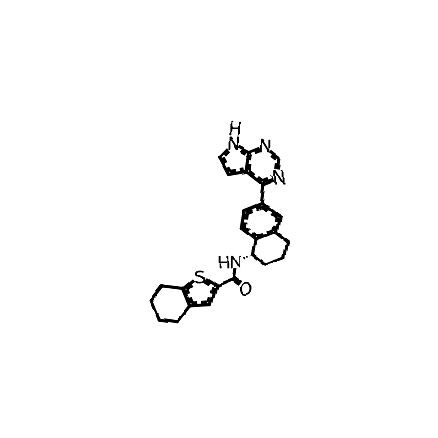 O=C(N[C@H]1CCCc2cc(-c3ncnc4[nH]ccc34)ccc21)c1cc2c(s1)CCCC2